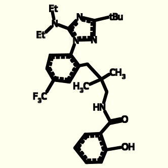 CCN(CC)c1nc(C(C)(C)C)nn1-c1ccc(C(F)(F)F)cc1CC(C)(C)CNC(=O)c1ccccc1O